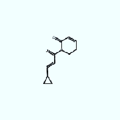 O=C1C=CCCN1C(=O)C=CC1CC1